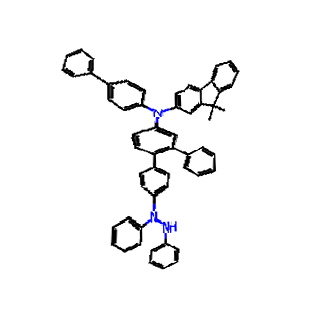 CC1(C)c2ccccc2-c2ccc(N(c3ccc(-c4ccccc4)cc3)c3ccc(-c4ccc(N(Nc5ccccc5)c5ccccc5)cc4)c(-c4ccccc4)c3)cc21